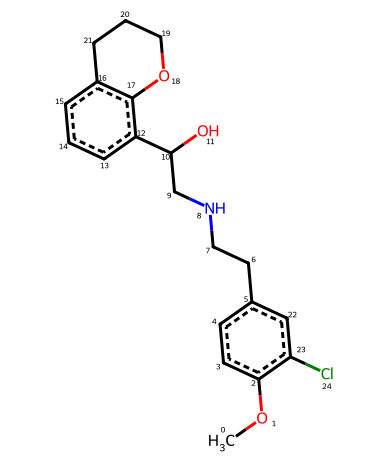 COc1ccc(CCNCC(O)c2cccc3c2OCCC3)cc1Cl